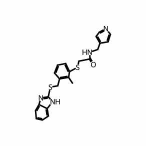 Cc1c(CSc2nc3ccccc3[nH]2)cccc1SCC(=O)NCc1ccncc1